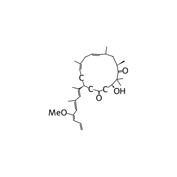 C=C\C=C(/C=C(C)/C=C(\C)[C@H]1C/C=C(/C)C/C=C/C(C)C[C@@H](C)C(=O)C(C)(C)[C@@H](O)CC(=O)C1)OC